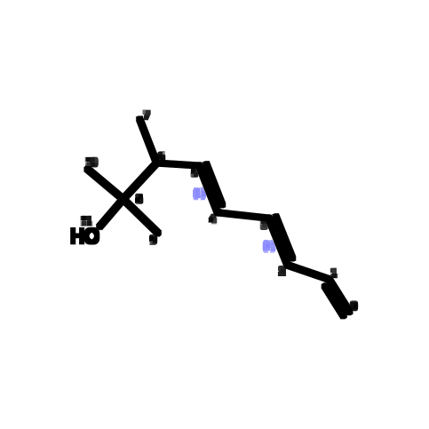 C=C/C=C/C=C/C(C)C(C)(C)O